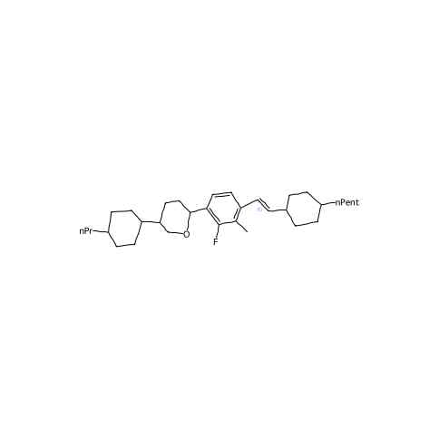 CCCCCC1CCC(/C=C/c2ccc(C3CCC(C4CCC(CCC)CC4)CO3)c(F)c2C)CC1